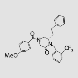 COc1ccc(C(=O)N2CC(=O)N(Cc3ccccc3C(F)(F)F)[C@@H](CCc3ccccc3)C2)cc1